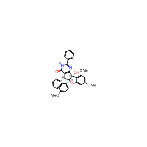 COc1ccc([C@@]23Oc4cc(OC)cc(OC)c4[C@]2(O)c2nc(-c4ccccc4)n(C)c(=O)c2[C@H]3c2ccccc2)cc1